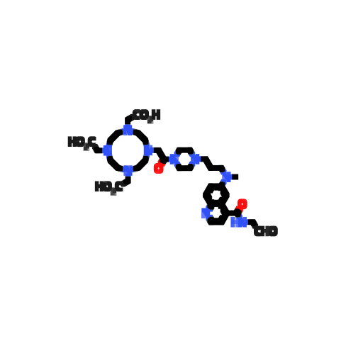 CN(CCCN1CCN(C(=O)CN2CCN(CC(=O)O)CCN(CC(=O)O)CCN(CC(=O)O)CC2)CC1)c1ccc2nccc(C(=O)NCC=O)c2c1